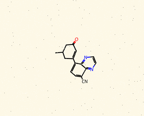 CC1CC(=O)C=C(c2ccc(C#N)c3nccnc23)C1